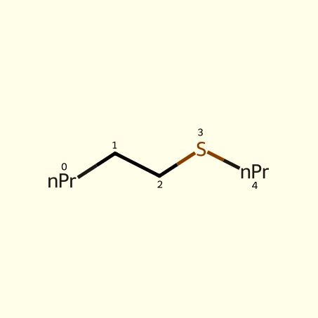 [CH2]CCCCSCCC